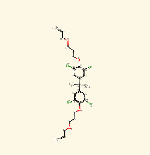 C=CCOCCCOc1c(Br)cc(C(C)(C)c2cc(Br)c(OCCCOCC=C)c(Br)c2)cc1Br